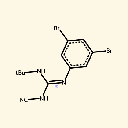 CC(C)(C)N/C(=N\c1cc(Br)cc(Br)c1)NC#N